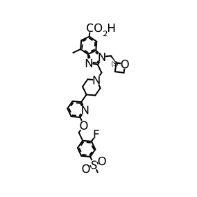 Cc1cc(C(=O)O)cc2c1nc(CN1CCC(c3cccc(OCc4ccc(S(C)(=O)=O)cc4F)n3)CC1)n2C[C@@H]1CCO1